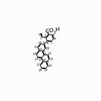 C=Cc1c(C(=O)O)cccc1-c1ccc2ccc3c4ccccc4ccc3c2c1